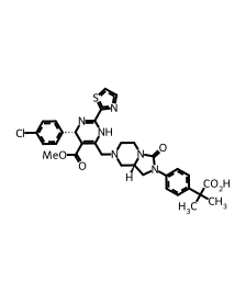 COC(=O)C1=C(CN2CCN3C(=O)N(c4ccc(C(C)(C)C(=O)O)cc4)C[C@@H]3C2)NC(c2nccs2)=N[C@H]1c1ccc(Cl)cc1